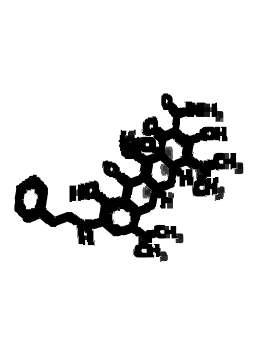 CN(C)c1cc(NCCc2ccccc2)c(O)c2c1C[C@H]1C[C@H]3C(N(C)C)C(O)=C(C(N)=O)C(=O)[C@@]3(O)C(O)=C1C2=O